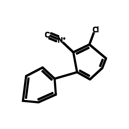 [C-]#[N+]c1c(Cl)cccc1-c1ccccc1